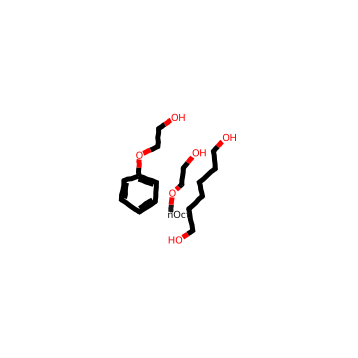 CCCCCCCCOCCO.OCCCCCCO.OCCOc1ccccc1